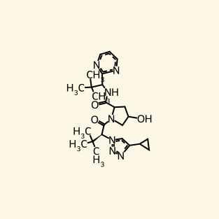 CC(C)(C)C(NC(=O)C1CC(O)CN1C(=O)[C@@H](n1cc(C2CC2)nn1)C(C)(C)C)c1ncccn1